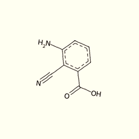 N#Cc1c(N)cccc1C(=O)O